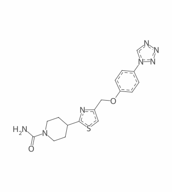 NC(=O)N1CCC(c2nc(COc3ccc(-n4cnnn4)cc3)cs2)CC1